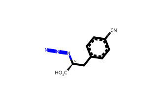 N#Cc1ccc(C[C@H](N=[N+]=[N-])C(=O)O)cc1